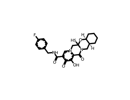 O=C(NCc1ccc(F)cc1)c1cn2c(c(O)c1=O)C(=O)N1C[C@@H]3CCCC[C@@H]3OC1(S)C2